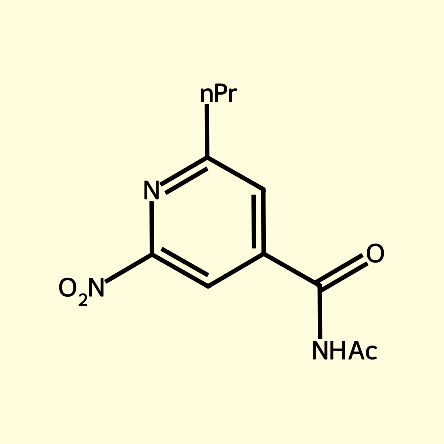 CCCc1cc(C(=O)NC(C)=O)cc([N+](=O)[O-])n1